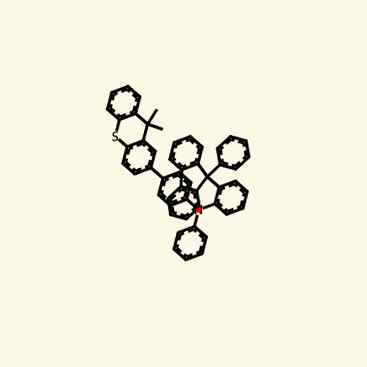 CC1(C)c2ccccc2Sc2ccc(-c3ccc(N(c4ccccc4)c4ccccc4C4(c5ccccc5)c5ccccc5-c5ccccc54)cc3)cc21